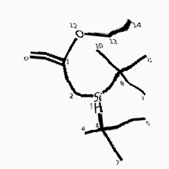 C=C(C[SiH](C(C)(C)C)C(C)(C)C)OCC